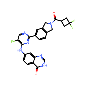 O=C(C1CC(F)(F)C1)N1Cc2ccc(-c3ncc(F)c(Nc4ccc5c(=O)[nH]cnc5c4)n3)cc2C1